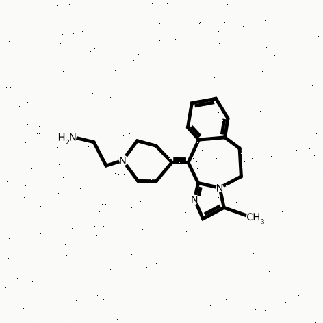 Cc1cnc2n1CCc1ccccc1C2=C1CCN(CCN)CC1